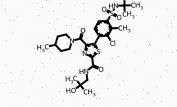 CCC(C)(C)NS(=O)(=O)c1ccc(-c2sc(C(=O)NCC(C)(C)O)nc2C(=O)N2CCC(C)CC2)c(Cl)c1C